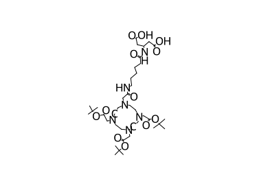 CC(C)(C)OC(=O)CN1CCN(CC(=O)NCCCCCC(=O)NC(CC(=O)O)CC(=O)O)CCN(CC(=O)OC(C)(C)C)CCN(CC(=O)OC(C)(C)C)CC1